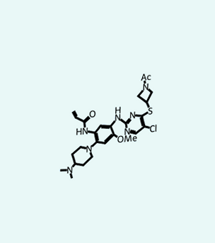 C=CC(=O)Nc1cc(Nc2ncc(Cl)c(SC3CN(C(C)=O)C3)n2)c(OC)cc1N1CCC(N(C)C)CC1